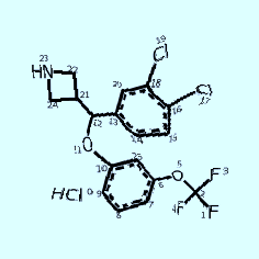 Cl.FC(F)(F)Oc1cccc(OC(c2ccc(Cl)c(Cl)c2)C2CNC2)c1